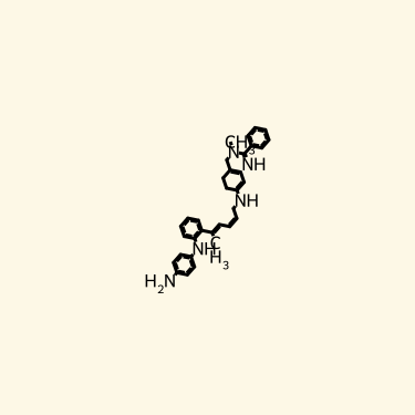 C/C(=C\C=C/CNC1=CC=C(CN(C)C(=N)c2ccccc2)CC1)c1ccccc1Nc1ccc(N)cc1